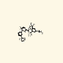 C[C@@H](NC(=O)c1ccc(=O)n(-c2cccc(-c3ncco3)c2)n1)c1cc(N)cc(C(F)(F)F)c1